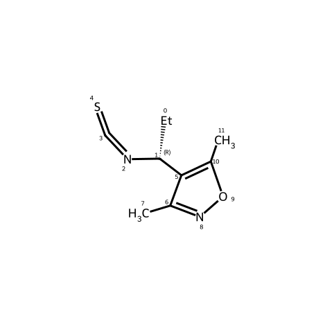 CC[C@@H](N=C=S)c1c(C)noc1C